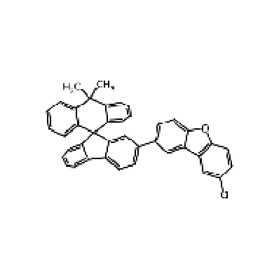 CC1(C)c2ccccc2C2(c3ccccc3-c3ccc(-c4ccc5oc6ccc(Cl)cc6c5c4)cc32)c2ccccc21